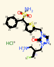 Cl.NC/C(=C\F)Cn1ncn(Cc2ccc(C(c3ccccc3)S(N)(=O)=O)s2)c1=O